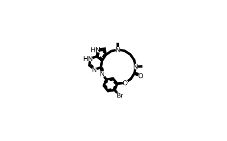 CN1CCCN(C)C(=O)COc2cc(ccc2Br)/N=C2/N=CNc3[nH]cc(c32)C1